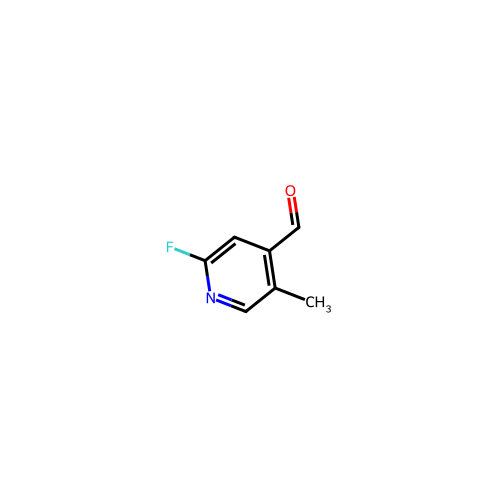 Cc1cnc(F)cc1C=O